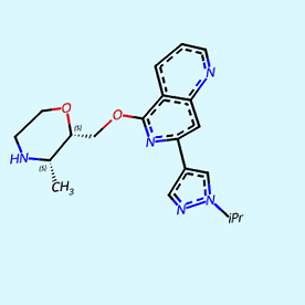 CC(C)n1cc(-c2cc3ncccc3c(OC[C@H]3OCCN[C@H]3C)n2)cn1